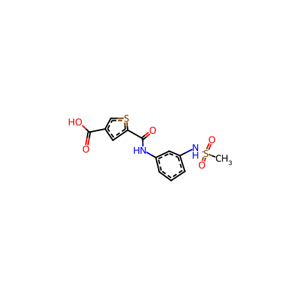 CS(=O)(=O)Nc1cccc(NC(=O)c2cc(C(=O)O)cs2)c1